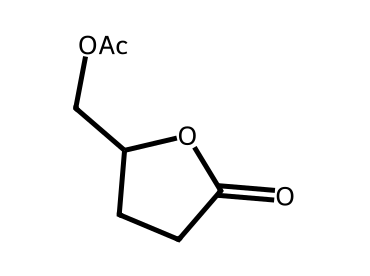 CC(=O)OCC1CCC(=O)O1